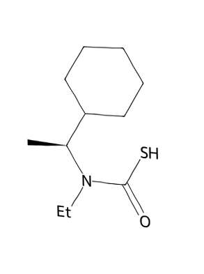 CCN(C(=O)S)[C@@H](C)C1CCCCC1